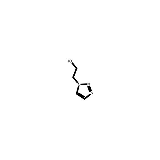 OCCn1c[c]nn1